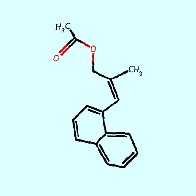 CC(=O)OCC(C)=Cc1cccc2ccccc12